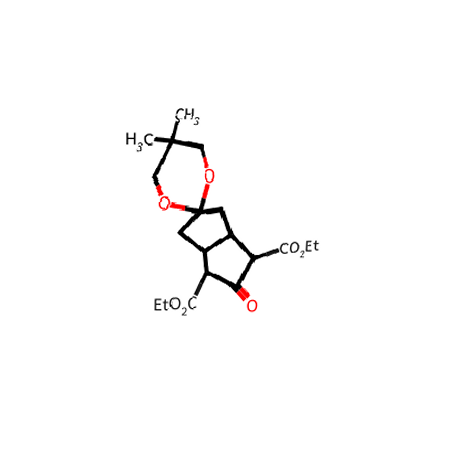 CCOC(=O)C1C(=O)C(C(=O)OCC)C2CC3(CC12)OCC(C)(C)CO3